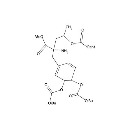 CCCC(C)C(=O)OC(C)C[C@@](N)(Cc1ccc(OC(=O)OCC(C)C)c(OC(=O)OCC(C)C)c1)C(=O)OC